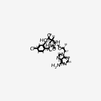 Cc1cc(Cl)ccc1[C@H](C)N[P@@](=O)(CO[C@H](C)Cn1cnc2c(N)ncnc21)NC(C)(C)C(=O)O